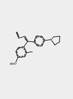 C=CC=C(c1ccc(N2CCCC2)cc1)c1ccc(OC)cc1C